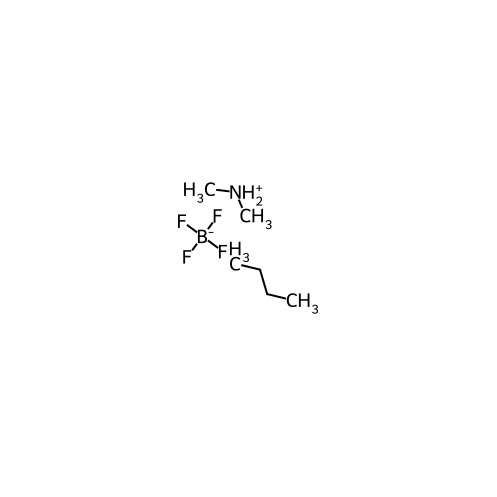 CCCC.C[NH2+]C.F[B-](F)(F)F